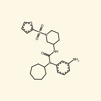 Nc1cccc(N(C(=O)NC2CCCN(S(=O)(=O)c3cccs3)C2)C2CCCCCC2)c1